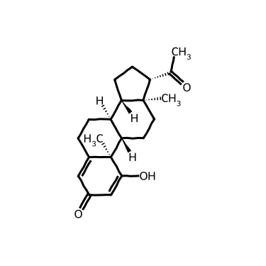 CC(=O)[C@H]1CC[C@H]2[C@@H]3CCC4=CC(=O)C=C(O)[C@]4(C)[C@H]3CC[C@]12C